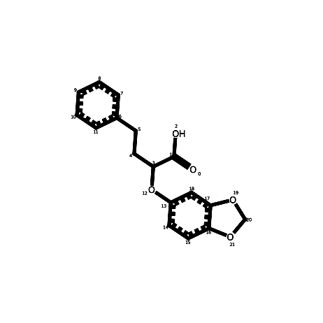 O=C(O)C(CCc1ccccc1)Oc1ccc2c(c1)OCO2